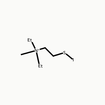 CC[N+](C)(CC)CCSI